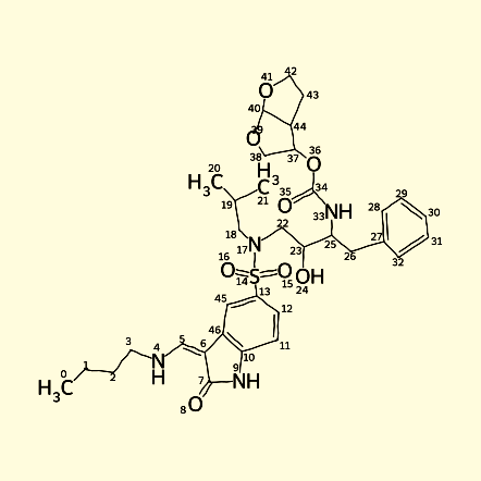 CCCCNC=C1C(=O)Nc2ccc(S(=O)(=O)N(CC(C)C)CC(O)C(Cc3ccccc3)NC(=O)OC3COC4OCCC34)cc21